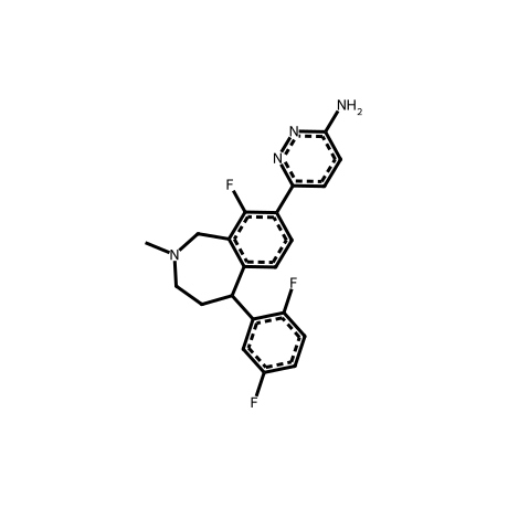 CN1CCC(c2cc(F)ccc2F)c2ccc(-c3ccc(N)nn3)c(F)c2C1